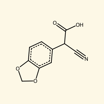 N#CC(C(=O)O)c1ccc2c(c1)OCO2